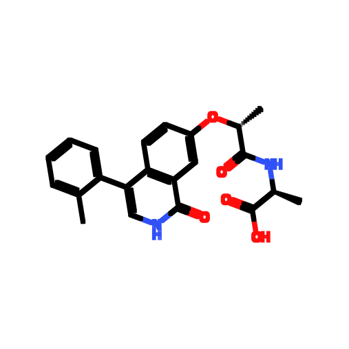 Cc1ccccc1-c1c[nH]c(=O)c2cc(O[C@H](C)C(=O)N[C@@H](C)C(=O)O)ccc12